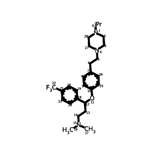 CC(C)N1CCN(CCc2ccc(OC(CCN(C)C)c3ccc(C(F)(F)F)cc3)cc2)CC1